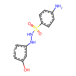 Nc1ccc(S(=O)(=O)NNc2cccc(O)c2)cc1